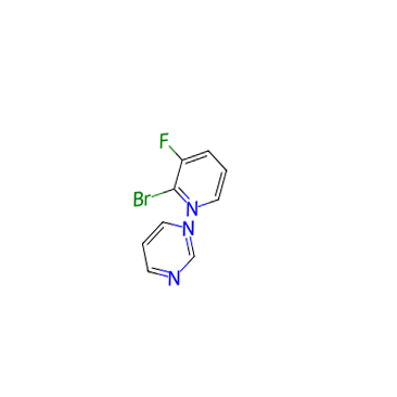 Fc1cccnc1Br.c1cncnc1